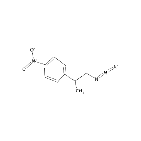 CC(CN=[N+]=[N-])c1ccc([N+](=O)[O-])cc1